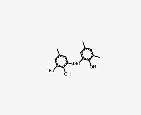 Cc1cc(C)c(O)c(C(C)(C)C)c1.Cc1cc(C)c(O)c(C(C)(C)C)c1